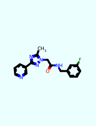 Cc1nc(-c2cccnc2)nn1CC(=O)NCc1cccc(F)c1